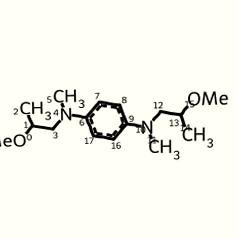 COC(C)CN(C)c1ccc(N(C)CC(C)OC)cc1